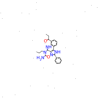 CCCN(C(=N)c1nc(-c2ccccc2)[nH]c1-c1cccc(C(=O)CC)c1)C(N)=O